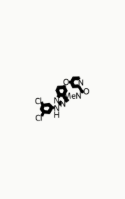 CNC(=O)c1cc(Oc2ccc3nc(Nc4cc(Cl)cc(Cl)c4)ncc3c2)ccn1